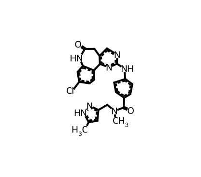 Cc1cc(CN(C)C(=O)c2ccc(Nc3ncc4c(n3)-c3ccc(Cl)cc3NC(=O)C4)cc2)n[nH]1